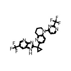 FC(F)(F)c1cnc2nc(C3(c4ccc5c(n4)CCCN5c4ccnc(C(F)(F)F)n4)CC3)[nH]c2c1